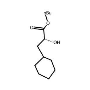 CCCCOC(=O)[C@H](O)CC1CCCCC1